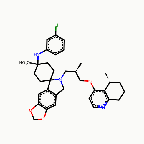 C[C@@H](COc1ccnc2c1[C@H](C)CCC2)CN1Cc2cc3c(cc2C12CCC(Nc1cccc(Cl)c1)(C(=O)O)CC2)OCO3